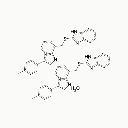 Cc1ccc(-c2cnc3c(CSc4nc5ccccc5[nH]4)cccn23)cc1.Cc1ccc(-c2cnc3c(CSc4nc5ccccc5[nH]4)cccn23)cc1.O